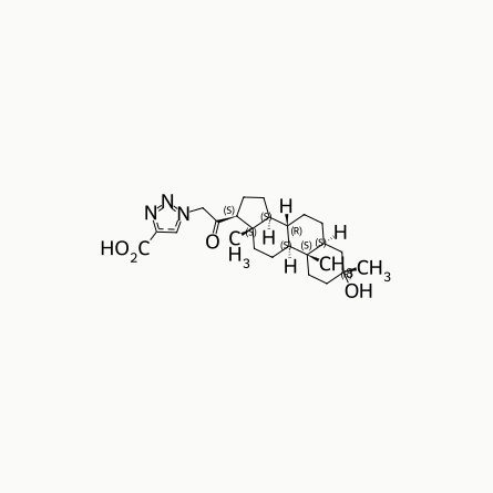 C[C@@]1(O)CC[C@@]2(C)[C@@H](CC[C@@H]3[C@@H]2CC[C@]2(C)[C@@H](C(=O)Cn4cc(C(=O)O)nn4)CC[C@@H]32)C1